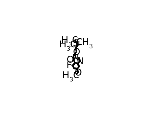 COc1cc(F)c2c(=O)n(COCC[Si](C)(C)C)cnc2c1